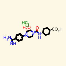 Cl.Cl.N=C(N)c1ccc(N2CCN(C(=O)N[C@H]3CC[C@H](C(=O)O)CC3)CC2)cc1.O